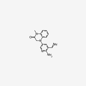 CN1C(=O)CN(c2cnc(N)c(C=N)c2)c2ccccc21